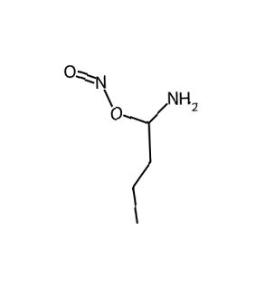 CCCC(N)ON=O